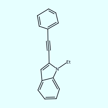 CCn1c(C#Cc2ccccc2)cc2ccccc21